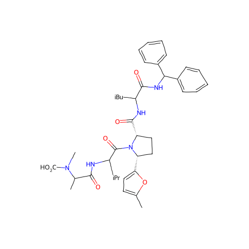 CCC(C)C(NC(=O)[C@@H]1CC[C@H](c2ccc(C)o2)N1C(=O)C(NC(=O)C(C)N(C)C(=O)O)C(C)C)C(=O)NC(c1ccccc1)c1ccccc1